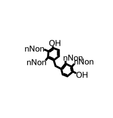 CCCCCCCCCc1c(O)ccc(Cc2ccc(O)c(CCCCCCCCC)c2CCCCCCCCC)c1CCCCCCCCC